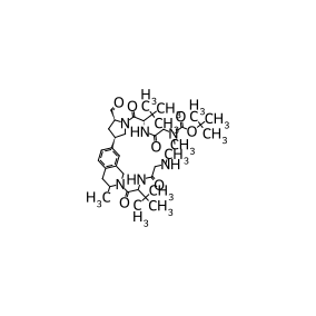 CNCC(=O)NC(C(=O)N1Cc2cc([C@H]3C[C@@H](C=O)N(C(=O)[C@@H](NC(=O)CN(C)C(=O)OC(C)(C)C)C(C)(C)C)C3)ccc2CC1C)C(C)(C)C